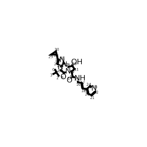 CC(C)(C)[C@@H](C(=O)N1CC(O)CC1C(=O)NCC=Cc1cccnc1)n1cc(C2CC2)nn1